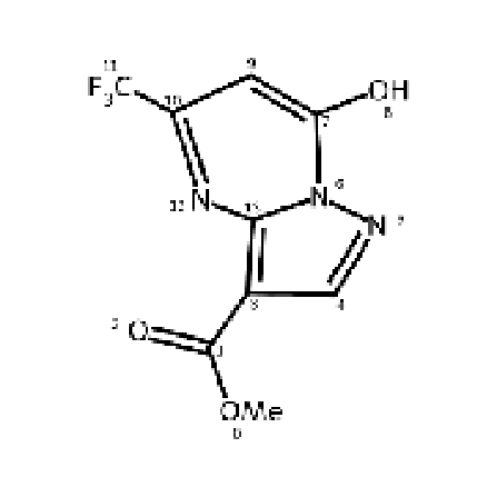 COC(=O)c1cnn2c(O)cc(C(F)(F)F)nc12